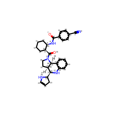 N#Cc1ccc(C(=O)N[C@@H]2CCCC[C@@H]2C(=O)N2CC[C@@H]3[C@H](C4CC=CN4)Nc4ccccc4[C@@H]32)cc1